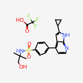 CC(C)(CO)NS(=O)(=O)c1ccc(-c2ccnc3[nH]c(C4CC4)cc23)cc1.O=C(O)C(F)(F)F